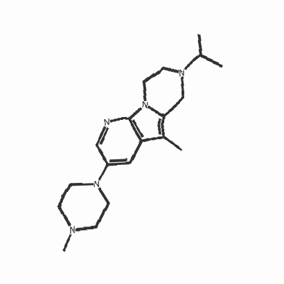 Cc1c2n(c3ncc(N4CCN(C)CC4)cc13)CCN(C(C)C)C2